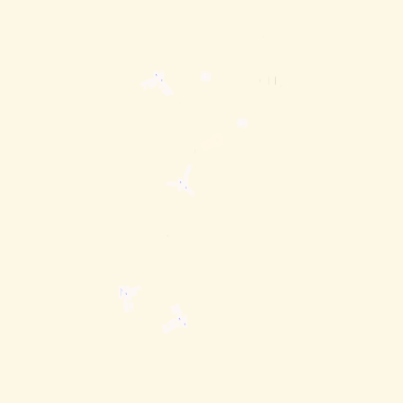 C=C/C=C(\C=C/C)c1ncccc1C(=O)N1CCC(F)(Cc2cnc(C)cn2)CC1